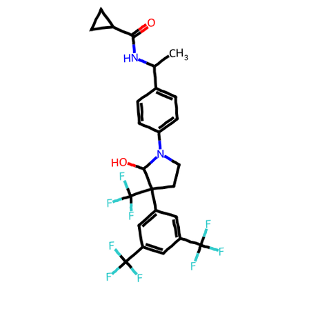 CC(NC(=O)C1CC1)c1ccc(N2CCC(c3cc(C(F)(F)F)cc(C(F)(F)F)c3)(C(F)(F)F)C2O)cc1